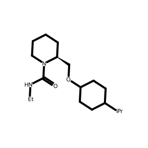 CCNC(=O)N1CCCC[C@H]1COC1CCC(C(C)C)CC1